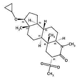 CN1C(=O)[C@H](S(C)(=O)=O)C[C@]2(C)[C@H]3CC[C@]4(C)[C@@H](OC5CC5)CC[C@H]4[C@@H]3CC[C@@H]12